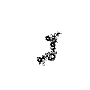 CCCOC(=O)[C@H](C)NP(=O)(Oc1ccccc1)[C@@H](F)c1ccc2sc(C(=O)N[C@H]3CCC[C@H]4CC[C@@H](C(=O)N5CC(c6cncc(F)c6OC)C5)N4C3=O)cc2c1